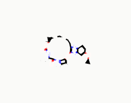 CC(=O)[C@@H]1[C@H](C)[C@@H]2CN1C(=O)[C@H](C(C)(C)C)NC(=O)O[C@@H]1C[C@H]1CCCCCc1nc3ccc(OC4CC4)cc3nc1O2